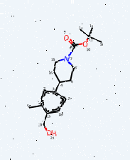 Cc1cc(C2CCN(C(=O)OC(C)(C)C)CC2)ccc1CO